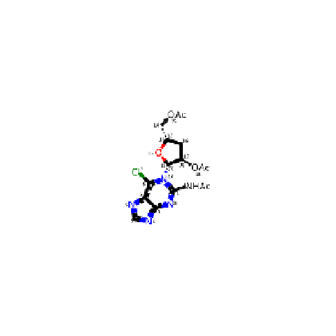 CC(=O)Nc1nc2ncnc-2c(Cl)n1[C@@H]1O[C@H](COC(C)=O)C[C@H]1OC(C)=O